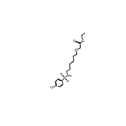 CCOC(=O)COCCCCCCNS(=O)(=O)c1ccc(Cl)cc1